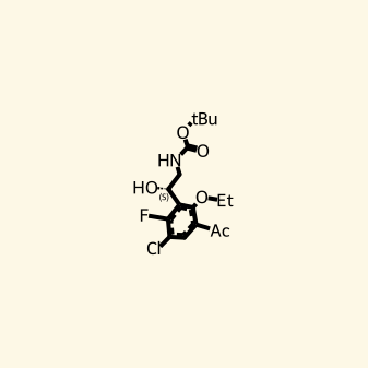 CCOc1c(C(C)=O)cc(Cl)c(F)c1[C@H](O)CNC(=O)OC(C)(C)C